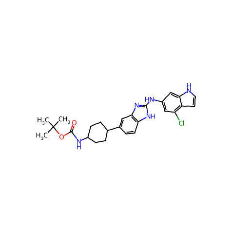 CC(C)(C)OC(=O)NC1CCC(c2ccc3[nH]c(Nc4cc(Cl)c5cc[nH]c5c4)nc3c2)CC1